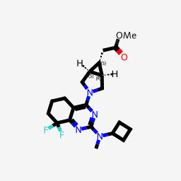 COC(=O)C[C@@H]1[C@H]2CN(c3nc(N(C)C4CCC4)nc4c3CCCC4(F)F)C[C@@H]12